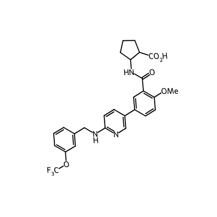 COc1ccc(-c2ccc(NCc3cccc(OC(F)(F)F)c3)nc2)cc1C(=O)NC1CCCC1C(=O)O